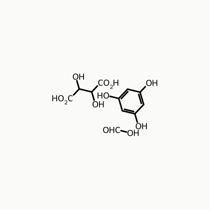 O=C(O)C(O)C(O)C(=O)O.O=CO.Oc1cc(O)cc(O)c1